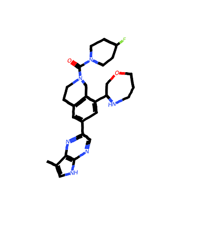 Cc1c[nH]c2ncc(-c3cc4c(c(C5COCCCN5)c3)CN(C(=O)N3CCC(F)CC3)CC4)nc12